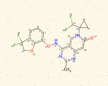 Cc1nc(NOc2cccc3c2OCC3(F)F)c2cn(C3(C(F)F)CC3)c(=O)cc2n1